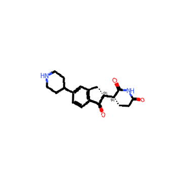 O=C1CC[C@H]([C@H]2Cc3cc(C4CCNCC4)ccc3C2=O)C(=O)N1